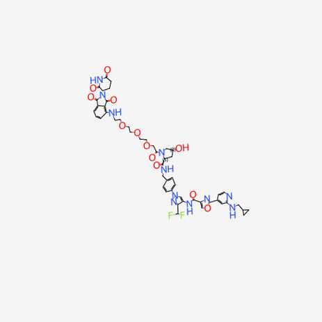 O=C1CCC(N2C(=O)c3cccc(NCCOCCOCCOCC(=O)N4C[C@H](O)C[C@H]4C(=O)NCc4ccc(-n5cc(NC(=O)c6coc(-c7ccnc(NCC8CC8)c7)n6)c(C(F)F)n5)cc4)c3C2=O)C(=O)N1